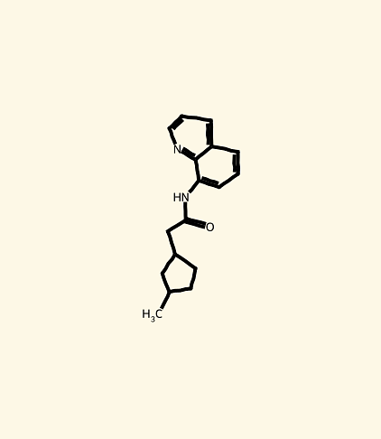 CC1CCC(CC(=O)Nc2cccc3cccnc23)C1